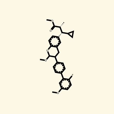 COC(=O)[C@H](C)[C@@H](c1ccc2c(c1)CC(c1ccc(-c3cc(OC)ccc3F)cc1)C(OC)O2)C1CC1